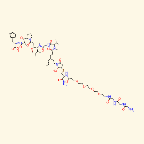 CCCC(CCC(=O)N(C)[C@H](C(=O)NCC(=O)N(C)[C@@H]([C@@H](C)CC)[C@@H](CC(=O)N1CCC[C@H]1[C@H](OC)[C@@H](C)C(=O)N[C@@H](Cc1ccccc1)C(=O)O)OC)C(C)C)CCN1C(=O)CC(SCC(NC(=O)CCOCCOCCOCCOCCNC(=O)CNC(=O)CNC(=O)CN)C(N)=O)C1O